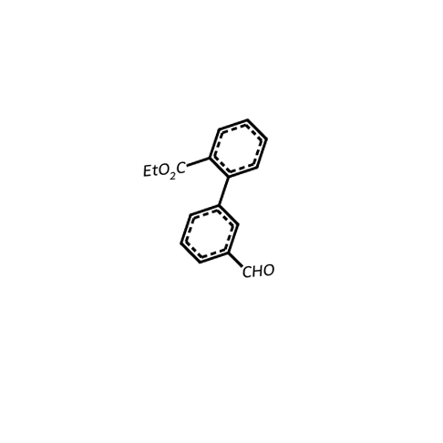 CCOC(=O)c1ccccc1-c1cccc(C=O)c1